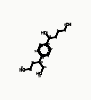 OCCCC(O)c1ccc(C(CO)CCO)cc1